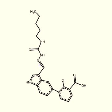 CCCCCNC(=O)N/N=C/c1c[nH]c2ccc(-c3cccc(C(=O)O)c3Cl)cc12